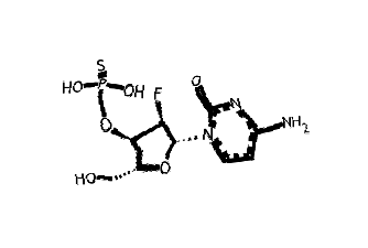 Nc1ccn([C@@H]2O[C@H](CO)[C@@H](OP(O)(O)=S)[C@H]2F)c(=O)n1